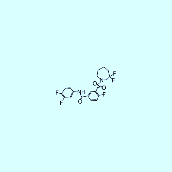 O=C(Nc1ccc(F)c(F)c1)c1ccc(F)c(S(=O)(=O)N2CCCCC(F)(F)C2)c1